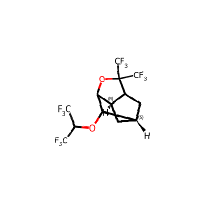 FC(F)(F)C(OC1C2OC(C(F)(F)F)(C(F)(F)F)C3C[C@@H]1C[C@@H]23)C(F)(F)F